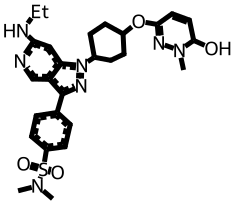 CCNc1cc2c(cn1)c(-c1ccc(S(=O)(=O)N(C)C)cc1)nn2C1CCC(OC2=NN(C)C(O)C=C2)CC1